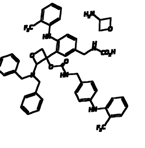 NC1COC1.O=C(O)NCc1ccc(Nc2ccccc2C(F)(F)F)c(C2(OC(=O)NCc3ccc(Nc4ccccc4C(F)(F)F)cc3)COC2N(Cc2ccccc2)Cc2ccccc2)c1